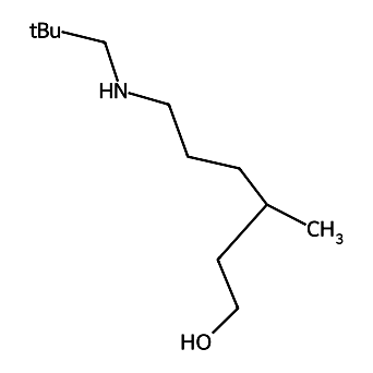 CC(CCO)CCCNCC(C)(C)C